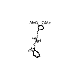 COc1ccc(CCNNCCc2c[nH]c3ccccc23)cc1OC